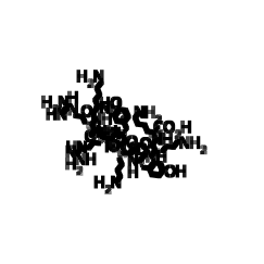 N=C(N)NCCC[C@H](NC(=O)[C@H](CCCNC(=N)N)NC(=O)[C@@H](N)CCCCN)C(=O)N[C@@H](Cc1ccc(O)cc1)C(=O)N[C@@H](CCCCN)C(=O)N[C@@H](Cc1ccc(O)cc1)C(=O)N[C@@H](CCCCN)C(=O)N[C@@H](CCCCN)C(=O)O